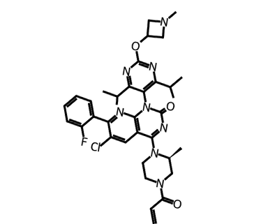 C=CC(=O)N1CCN(c2nc(=O)n(-c3c(C(C)C)nc(OC4CN(C)C4)nc3C(C)C)c3nc(-c4ccccc4F)c(Cl)cc23)[C@@H](C)C1